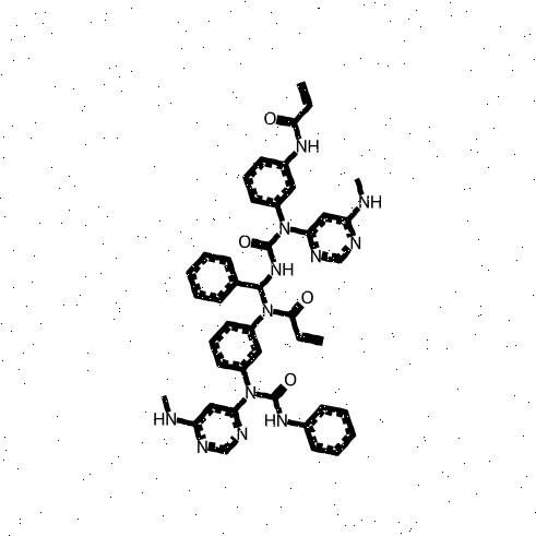 C=CC(=O)Nc1cccc(N(C(=O)NC(c2ccccc2)N(C(=O)C=C)c2cccc(N(C(=O)Nc3ccccc3)c3cc(NC)ncn3)c2)c2cc(NC)ncn2)c1